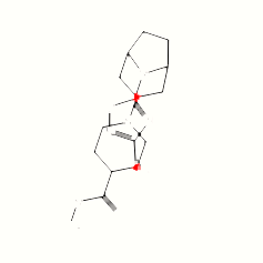 CC(C)(C)NC(=O)C1CCN(C2CC3CCC(C2)N3c2nc(C(F)(F)F)no2)CC1.Cl.O